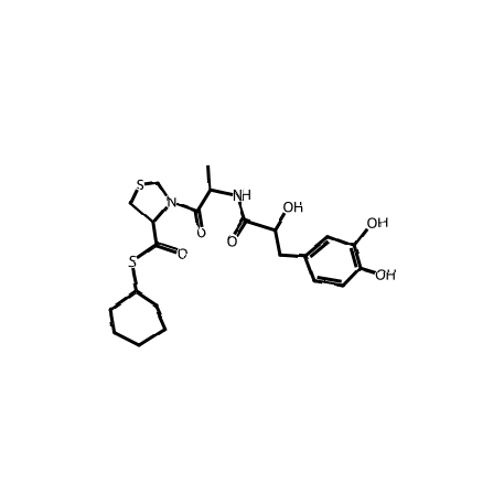 CC(NC(=O)C(O)Cc1ccc(O)c(O)c1)C(=O)N1CSCC1C(=O)SC1CCCCC1